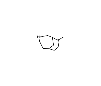 CN1CCC2CCNCC1C2